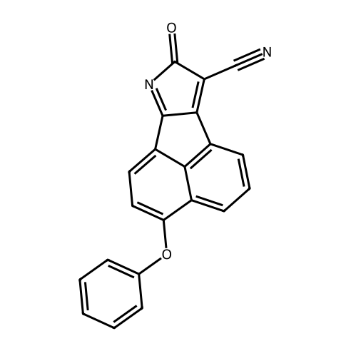 N#CC1=C2C(=NC1=O)c1ccc(Oc3ccccc3)c3cccc2c13